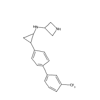 FC(F)(F)c1cccc(-c2ccc(C3CC3NC3CNC3)cc2)c1